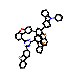 c1ccc(-n2c3ccccc3c3cc(-c4cc(-c5ccc6oc7cccc(-c8nc(-c9ccc%10c(c9)oc9ccccc9%10)nc(-c9cccc%10sc%11ccccc%11c9%10)n8)c7c6c5)cc5c4sc4ccccc45)ccc32)cc1